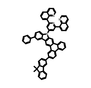 CC1(C)c2ccccc2-c2cc(-c3ccc4c5ccccc5c5cc6c(cc5c4c3)c3cc(-c4ccccc4)ccc3n6-c3cc(-c4cccc5cccnc45)nc(-c4cccc5cccnc45)c3)ccc21